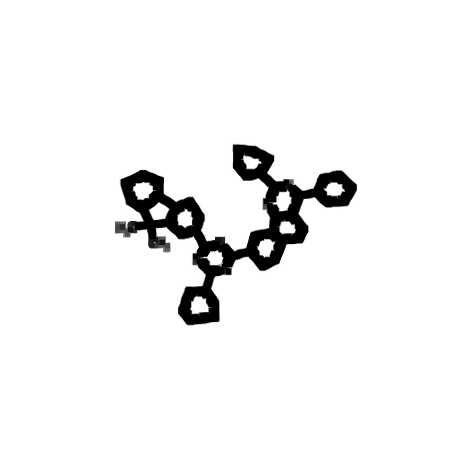 CC1(C)c2ccccc2-c2ccc(-c3nc(-c4ccccc4)nc(-c4ccc5ccc6c(-c7ccccc7)nc(-c7ccccc7)nc6c5c4)n3)cc21